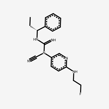 CC[C@@H](NC(=N)N(C#N)c1ccc(NCCF)nc1)c1ccccc1